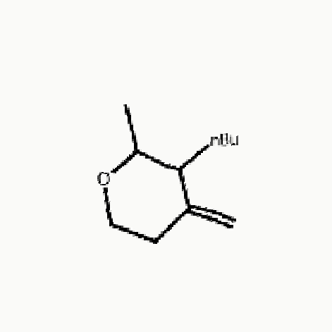 C=C1CCOC(C)C1CCCC